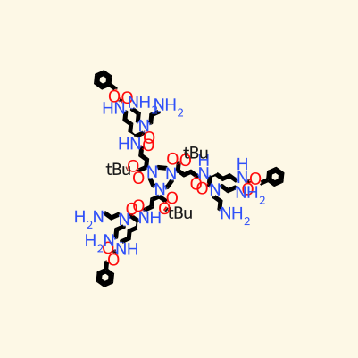 CC(C)(C)OC(=O)C(CCC(=O)N[C@@H](CCCCNC(=O)OCc1ccccc1)C(=O)N(CCCN)CCCN)N1CCN(C(CCC(=O)N[C@@H](CCCCNC(=O)OCc2ccccc2)C(=O)N(CCCN)CCCN)C(=O)OC(C)(C)C)CCN(C(CCC(=O)N[C@@H](CCCCNC(=O)OCc2ccccc2)C(=O)N(CCCN)CCCN)C(=O)OC(C)(C)C)CC1